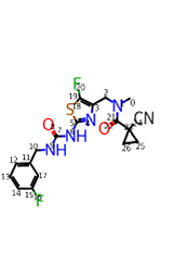 CN(Cc1nc(NC(=O)NCc2cccc(F)c2)sc1F)C(=O)C1(C#N)CC1